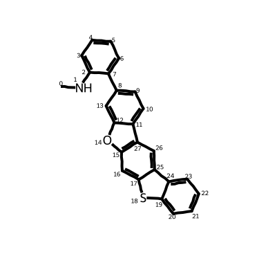 CNc1ccccc1-c1ccc2c(c1)oc1cc3sc4ccccc4c3cc12